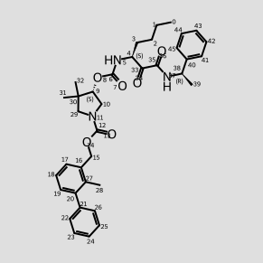 CCCC[C@H](NC(=O)O[C@@H]1CN(C(=O)OCc2cccc(-c3ccccc3)c2C)CC1(C)C)C(=O)C(=O)N[C@H](C)c1ccccc1